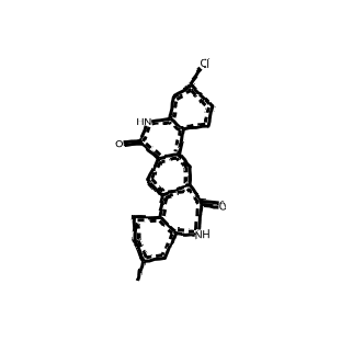 Cc1ccc2c(c1)[nH]c(=O)c1cc3c(cc12)c(=O)[nH]c1cc(Cl)ccc13